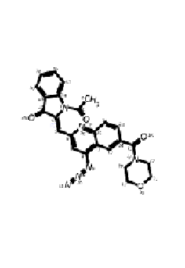 CC(=O)N1/C(=C\c2cc(N=[N+]=[N-])c3cc(C(=O)N4CCOCC4)ccc3n2)C(=O)c2ccccc21